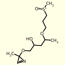 CC(CC(O)COC1(C)C=N1)OCCC[S+](C)[O-]